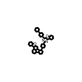 c1ccc(-c2ccc(-c3nc(-c4ccc(-c5cccc6c5-c5cc7oc8ccccc8c7c7cccc-6c57)cc4)nc4c3oc3ccccc34)cc2)cc1